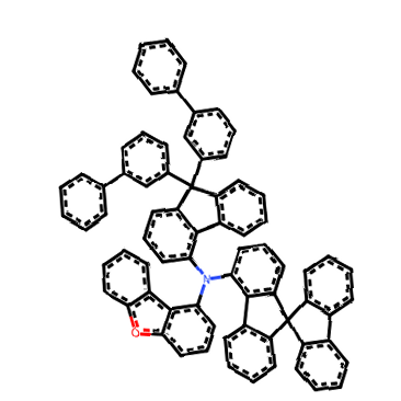 c1ccc(-c2cccc(C3(c4cccc(-c5ccccc5)c4)c4ccccc4-c4c(N(c5cccc6c5-c5ccccc5C65c6ccccc6-c6ccccc65)c5cccc6oc7ccccc7c56)cccc43)c2)cc1